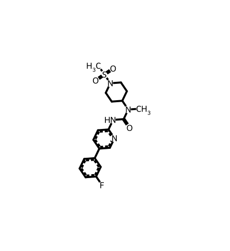 CN(C(=O)Nc1ccc(-c2cccc(F)c2)cn1)C1CCN(S(C)(=O)=O)CC1